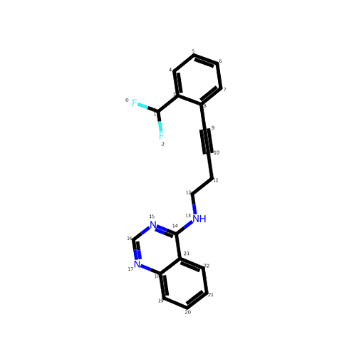 FC(F)c1ccccc1C#CCCNc1ncnc2ccccc12